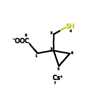 O=C([O-])CC1(CS)CC1.[Cs+]